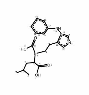 CC(C)CC(C(=O)O)N(CCc1cncn1Nc1ccccc1)C(=O)O